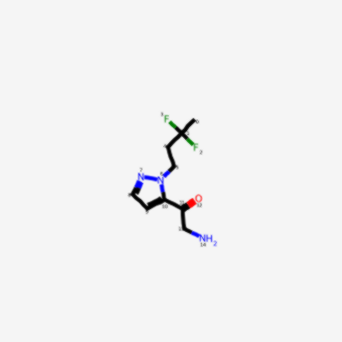 CC(F)(F)CCn1nccc1C(=O)CN